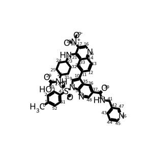 Cc1ccc(S(=O)(=O)n2cc(-c3ccc4ncc([N+](=O)[O-])c(NC5CCC(NC(=O)O)CC5)c4c3)c3cc(C(=O)NCc4cccnc4)cnc32)cc1